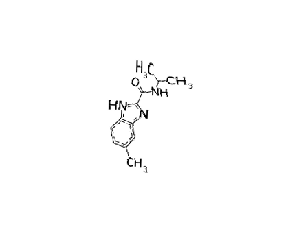 Cc1ccc2[nH]c(C(=O)NC(C)C)nc2c1